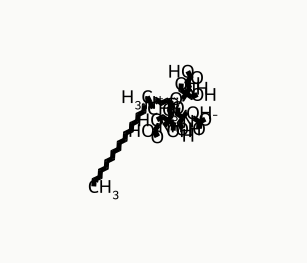 CCCCCCCCCCCCCCCCCC[N+](C)(C)CCC[Si](OCC(CO)(CO)NCC(=O)[O-])(OCC(CO)(CO)NCC(=O)O)OCC(CO)(CO)NCC(=O)O